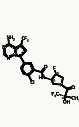 C[C@@](O)(C(=O)N1C[C@H](F)[C@H](NC(=O)c2cc(-c3cc(C(F)(F)F)c4c(N)ncnn34)ccc2Cl)C1)C(F)(F)F